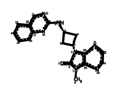 Cn1c(=O)n([C@H]2C[C@H](Nc3ncc4ccccc4n3)C2)c2nccnc21